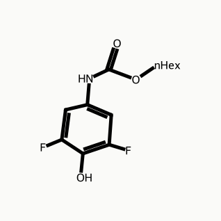 CCCCCCOC(=O)Nc1cc(F)c(O)c(F)c1